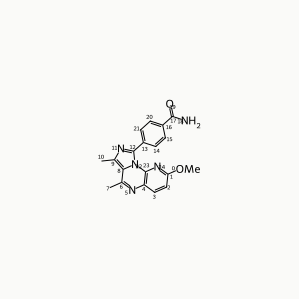 COc1ccc2nc(C)c3c(C)nc(-c4ccc(C(N)=O)cc4)n3c2n1